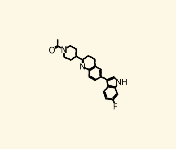 CC(=O)N1CCC(C2=Nc3ccc(-c4c[nH]c5cc(F)ccc45)cc3CC2)CC1